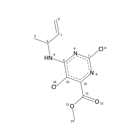 C=CC(C)Nc1nc(Cl)nc(C(=O)OC)c1Cl